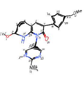 CCOC1C=Cc2cc(-c3ccc(OC)cc3)c(=O)n(-c3cnc(NC)nc3)c2N1